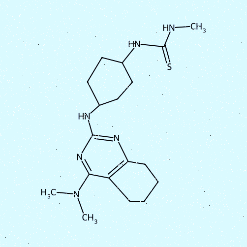 CNC(=S)NC1CCC(Nc2nc3c(c(N(C)C)n2)CCCC3)CC1